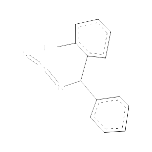 [N-]=[N+]=NC(c1ccccc1)c1ccccc1C(F)(F)F